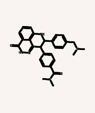 CN(C)Cc1ccc(C2Nc3cccc4c(=O)[nH]nc(c34)C2c2ccc(C(=O)N(C)C)cc2)cc1